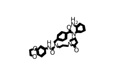 Nc1ccccc1NC(=O)c1ccc(CN(CCCN2CCCC2=O)C(=O)Nc2ccc3c(c2)OCCO3)cc1